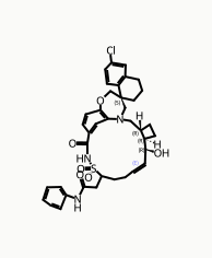 O=C(CC1CC/C=C/[C@H](O)[C@@H]2CC[C@H]2CN2C[C@@]3(CCCc4cc(Cl)ccc43)COc3ccc(cc32)C(=O)NS1(=O)=O)Nc1ccccc1